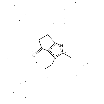 CCn1c(C)nc2c1C(=O)CC2